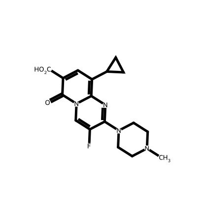 CN1CCN(c2nc3c(C4CC4)cc(C(=O)O)c(=O)n3cc2F)CC1